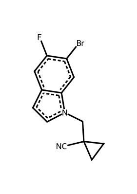 N#CC1(Cn2ccc3cc(F)c(Br)cc32)CC1